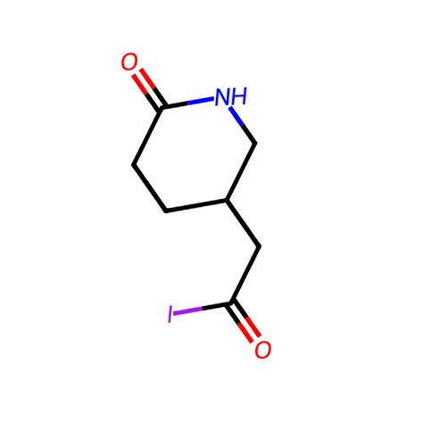 O=C(I)CC1CCC(=O)NC1